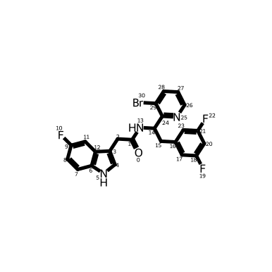 O=C(Cc1c[nH]c2ccc(F)cc12)NC(Cc1cc(F)cc(F)c1)c1ncccc1Br